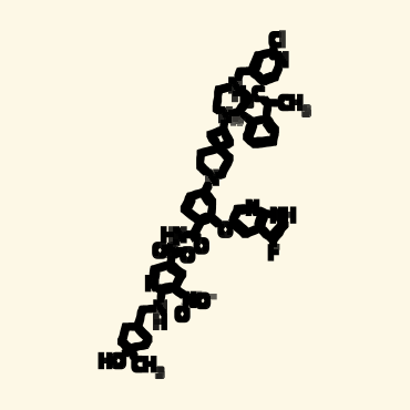 CC(C)c1ccccc1[C@@H]1CN(Cc2ccnc(Cl)c2)CCN1C1CC2(CCN(c3ccc(C(=O)NS(=O)(=O)c4cnc(NCC5CCC(C)(O)CC5)c([N+](=O)[O-])c4)c(Oc4cnc5[nH]cc(F)c5c4)c3)CC2)C1